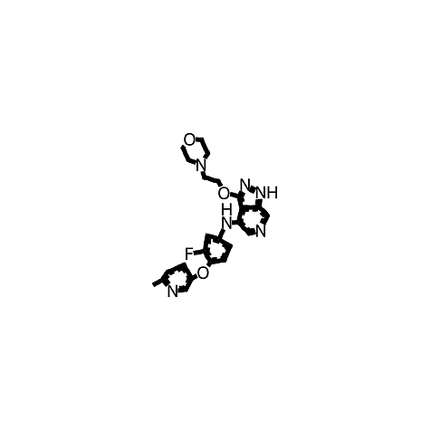 Cc1ccc(Oc2ccc(Nc3cncc4[nH]nc(OCCN5CCOCC5)c34)cc2F)cn1